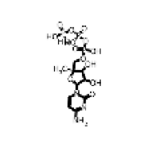 C[C@]1(COP(=O)(O)OP(=O)(O)OP(=O)(O)O)OC(n2ccc(N)nc2=O)C(O)C1O